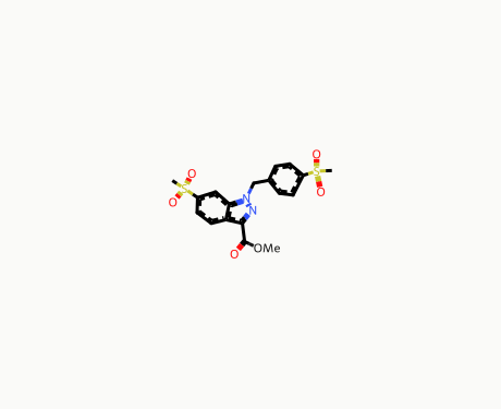 COC(=O)c1nn(Cc2ccc(S(C)(=O)=O)cc2)c2cc(S(C)(=O)=O)ccc12